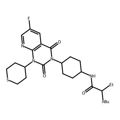 CCCCC(CC)C(=O)NC1CCC(n2c(=O)c3cc(F)cnc3n(C3CCSCC3)c2=O)CC1